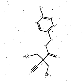 CCC(C#N)(CC)C(=O)CCc1ccc(F)cc1